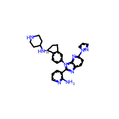 Nc1ncccc1-c1nc2ccc(-n3cccn3)nc2n1-c1ccc2c(c1)CC[C@@H]2NC1CCNCC1